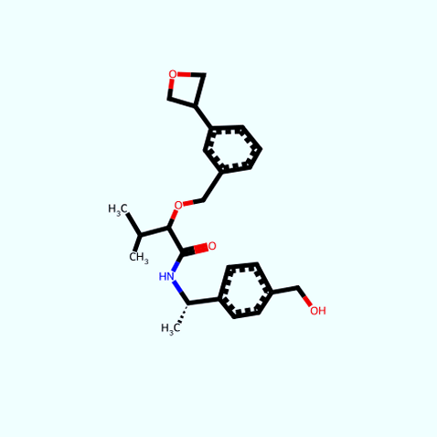 CC(C)C(OCc1cccc(C2COC2)c1)C(=O)N[C@@H](C)c1ccc(CO)cc1